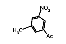 CC(=O)c1cc(C)cc([N+](=O)[O-])c1